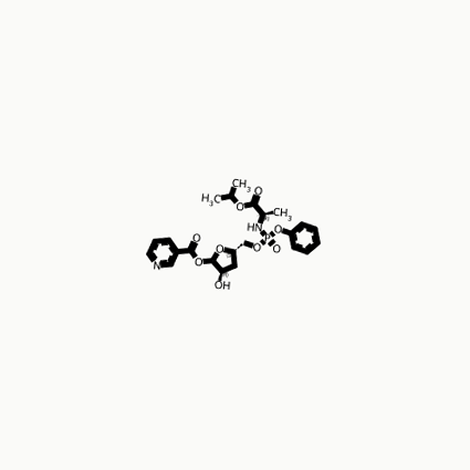 CC(C)OC(=O)[C@@H](C)NP(=O)(OC[C@@H]1C[C@@H](O)C(OC(=O)c2cccnc2)O1)Oc1ccccc1